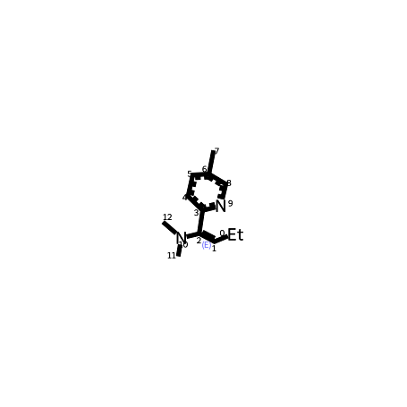 CC/C=C(\c1ccc(C)cn1)N(C)C